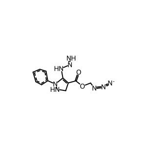 [N-]=[N+]=NCOC(=O)C1=C(NN=N)N(c2ccccc2)NC1